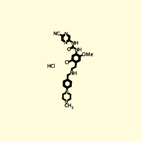 COc1cc(CCNCc2ccc(N3CCN(C)CC3)cc2)c(Cl)cc1NC(=O)Nc1cnc(C#N)cn1.Cl